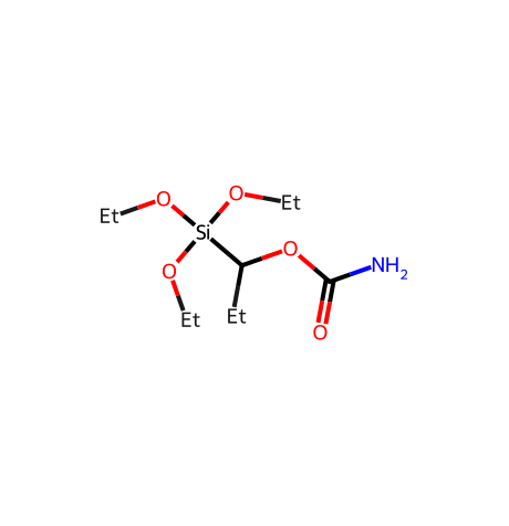 CCO[Si](OCC)(OCC)C(CC)OC(N)=O